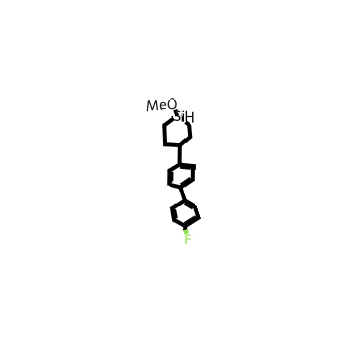 CO[SiH]1CCC(c2ccc(-c3ccc(F)cc3)cc2)CC1